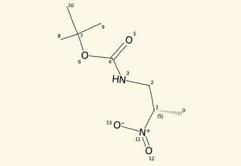 C[C@@H](CNC(=O)OC(C)(C)C)[N+](=O)[O-]